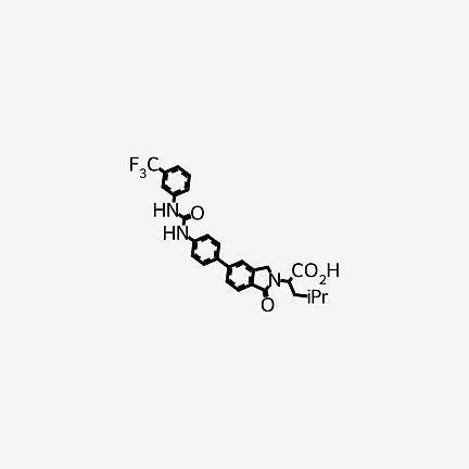 CC(C)CC(C(=O)O)N1Cc2cc(-c3ccc(NC(=O)Nc4cccc(C(F)(F)F)c4)cc3)ccc2C1=O